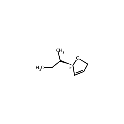 CCC(C)[C@@H]1C=CCO1